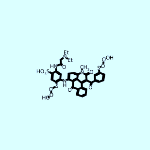 CCN(CC)CC(=O)Nc1cc(Nc2ccc3c4c2C(=O)c2ccccc2-c4c(C(=O)c2cccc(SOOO)c2)c(=O)n3C)c(SOOO)cc1S(=O)(=O)O